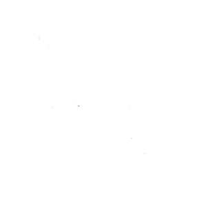 B.B.CC1(C)C2CC1[C@H](CP(=O)(c1ccccc1)c1ccccc1)[C@H](P(=O)(C1CCCCC1)C1CCCCC1)C2